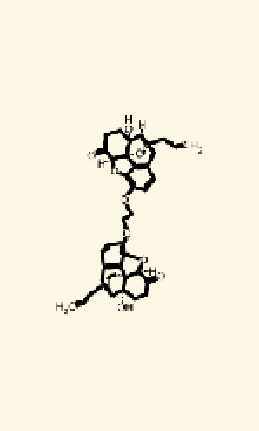 C=CCN1CC[C@]23c4c5ccc(OCCOc6ccc7c8c6O[C@H]6C(=O)CC[C@@]9(O)[C@@H](C7)N(CC=C)CC[C@]869)c4O[C@H]2C(=O)CC[C@@]3(O)C1C5